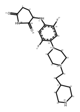 O=C1CCC(Nc2cc(F)c(N3CCN(CCC4CCNCC4)CC3)cc2F)C(=O)N1